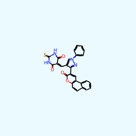 O=C1NC(=S)NC(=O)C1=Cc1cn(-c2ccccc2)nc1-c1cc2c(ccc3ccccc32)oc1=O